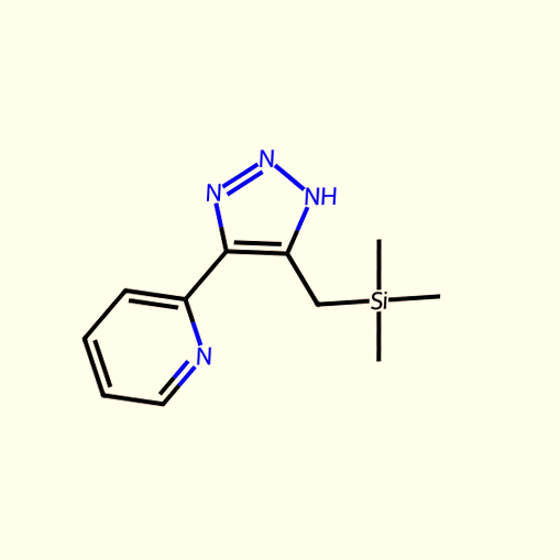 C[Si](C)(C)Cc1[nH]nnc1-c1ccccn1